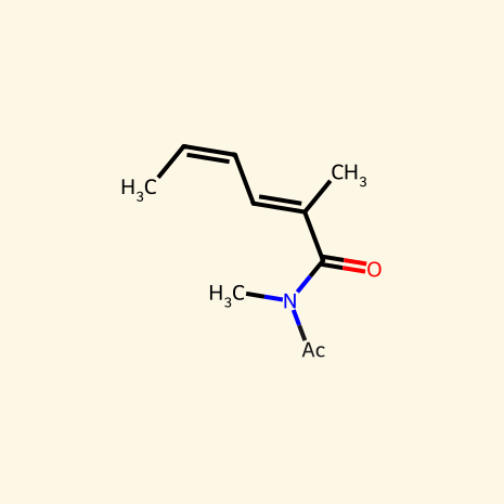 C/C=C\C=C(/C)C(=O)N(C)C(C)=O